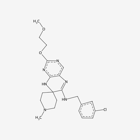 COCCOc1ncc2c(n1)NC1(CCN(C)CC1)C(NCc1cccc(Cl)c1)=N2